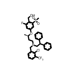 C[C@H](CCN(Cc1cccc(C(F)(F)F)c1Cl)CC(c1ccccc1)c1ccccc1)Oc1cc(F)c(CO)c(S(C)(=O)=O)c1